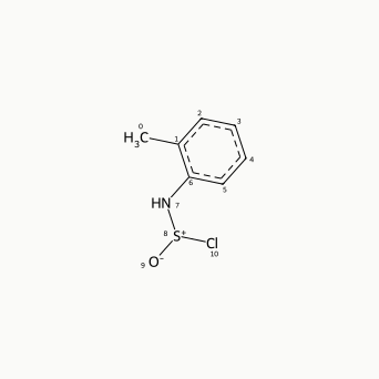 Cc1ccccc1N[S+]([O-])Cl